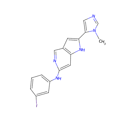 Cn1cncc1-c1cc2cnc(Nc3cccc(I)c3)cc2[nH]1